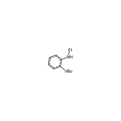 CCC[CH]c1ccccc1NCC